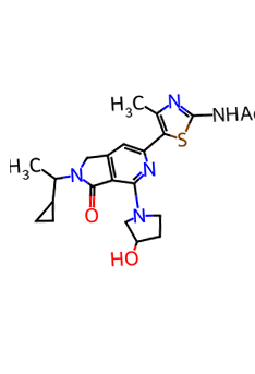 CC(=O)Nc1nc(C)c(-c2cc3c(c(N4CCC(O)C4)n2)C(=O)N(C(C)C2CC2)C3)s1